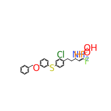 NC(/C=C(/F)POO)CCc1ccc(Sc2cccc(OCc3ccccc3)c2)cc1Cl